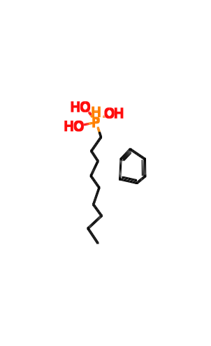 CCCCCCCCC[PH](O)(O)O.c1ccccc1